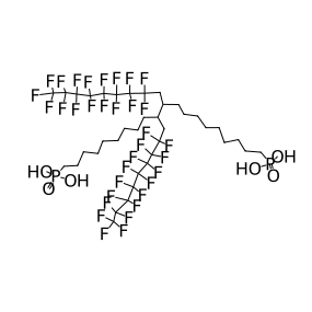 O=P(O)(O)CCCCCCCCCC(CC(F)(F)C(F)(F)C(F)(F)C(F)(F)C(F)(F)C(F)(F)C(F)(F)C(F)(F)F)C(CCCCCCCCCP(=O)(O)O)CC(F)(F)C(F)(F)C(F)(F)C(F)(F)C(F)(F)C(F)(F)C(F)(F)C(F)(F)F